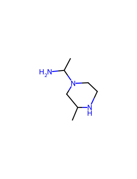 CC1CN(C(C)N)CCN1